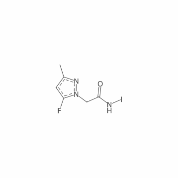 Cc1cc(F)n(CC(=O)NI)n1